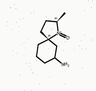 C[C@@H]1CC[C@@]2(CCCC(N)C2)[N+]1=O